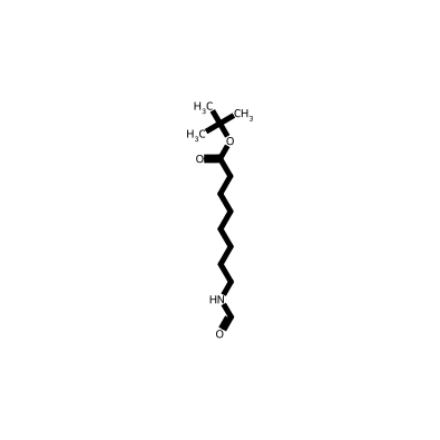 CC(C)(C)OC(=O)CCCCCCCNC=O